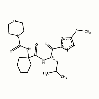 CSc1nnc(C(=O)[C@H](CC(C)C)NC(=O)C2(NC(=O)N3CCOCC3)CCCCC2)o1